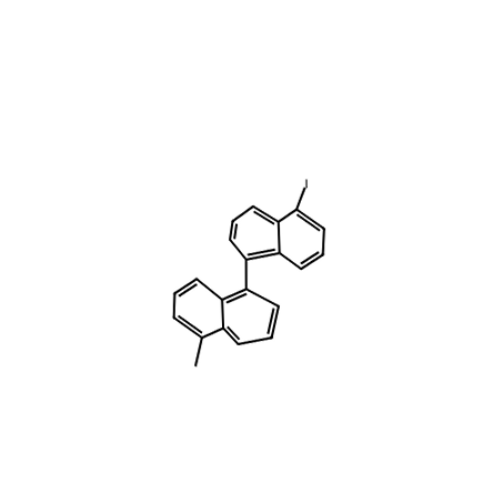 Cc1cccc2c(-c3cccc4c(I)cccc34)cccc12